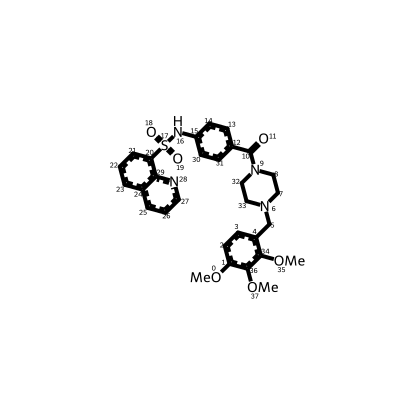 COc1ccc(CN2CCN(C(=O)c3ccc(NS(=O)(=O)c4cccc5cccnc45)cc3)CC2)c(OC)c1OC